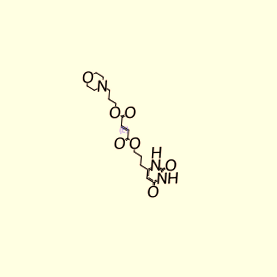 O=C(/C=C/C(=O)OCCCN1CCOCC1)OCCCc1cc(=O)[nH]c(=O)[nH]1